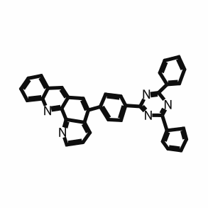 c1ccc(-c2nc(-c3ccccc3)nc(-c3ccc(-c4cc5cc6ccccc6nc5c5ncccc45)cc3)n2)cc1